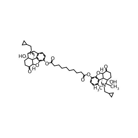 Cc1ccc(OC(=O)CCCCCCCCC(=O)Oc2ccc3c4c2O[C@H]2C(=O)CC[C@@]5(O)C(C3)N(CC3CC3)CC[C@]425)c2c1[C@]13CCN(CC4CC4)C(C)[C@]1(O)CCC(=O)[C@@H]3O2